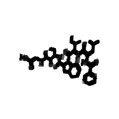 CCC(NC(=O)C1CC2CCCCC2N1C(=O)C(NC(=O)C(CC(C)C)NC(=O)c1cnccn1)C(C)CC)C(=O)C(=O)NCC(=O)O